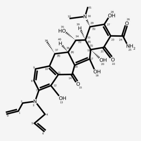 C=CCN(CC=C)c1ccc2c(c1O)C(=O)C1=C(O)[C@]3(O)C(=O)C(C(N)=O)=C(O)[C@@H](N(C)C)[C@@H]3[C@@H](O)[C@@H]1[C@H]2C